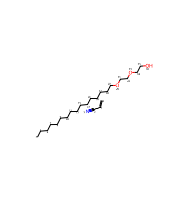 C=CC#N.CCCCCCCCCCCCCCCCOCCOCCO